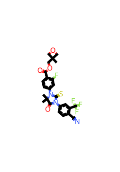 CC1(COC(=O)c2ccc(N3C(=S)N(c4ccc(C#N)c(C(F)(F)F)c4)C(=O)C3(C)C)cc2F)COC1